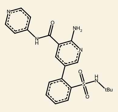 CC(C)(C)NS(=O)(=O)c1ccccc1-c1cnc(N)c(C(=O)Nc2ccncc2)c1